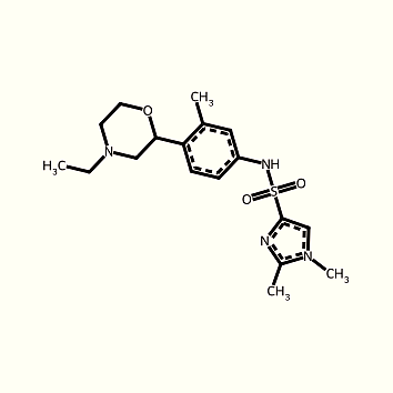 CCN1CCOC(c2ccc(NS(=O)(=O)c3cn(C)c(C)n3)cc2C)C1